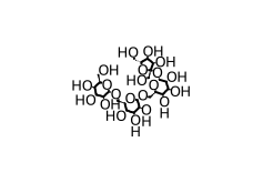 OC[C@H]1O[C@@](CO)(O[C@H]2O[C@H](CO[C@H]3O[C@H](CO[C@H]4O[C@H](CO)[C@@H](O)[C@H](O)[C@H]4O)[C@H](O)[C@H](O)[C@H]3O)[C@H](O)[C@H](O)[C@H]2O)[C@@H](O)[C@@H]1O